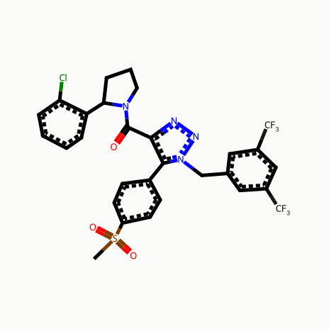 CS(=O)(=O)c1ccc(-c2c(C(=O)N3CCCC3c3ccccc3Cl)nnn2Cc2cc(C(F)(F)F)cc(C(F)(F)F)c2)cc1